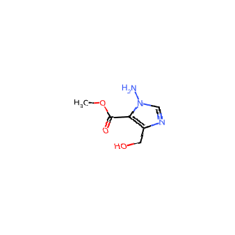 COC(=O)c1c(CO)ncn1N